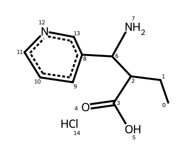 CCC(C(=O)O)C(N)c1cccnc1.Cl